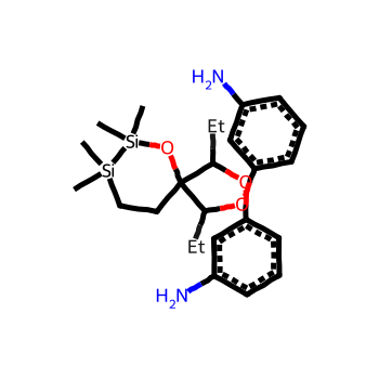 CCC(Oc1cccc(N)c1)C1(C(CC)Oc2cccc(N)c2)CC[Si](C)(C)[Si](C)(C)O1